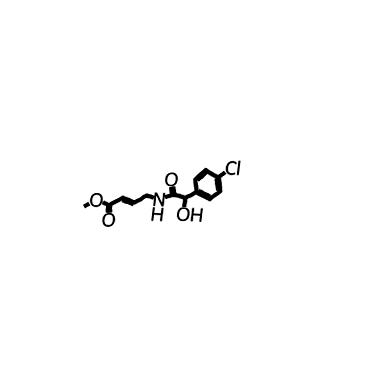 COC(=O)/C=C/CNC(=O)C(O)c1ccc(Cl)cc1